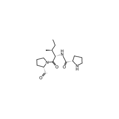 CC[C@H](C)[C@H](NC(=O)[C@@H]1CCCN1)C(=O)N1CCC[C@H]1[C]=O